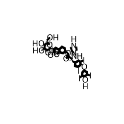 O=C(Oc1ccc2cc([C@@H]3O[C@H](CO)[C@H](O)[C@H](O)[C@H]3O)c(=O)oc2c1)[C@H](Cc1cc(I)c(Oc2cc(I)c(O)c(I)c2)c(I)c1)NN1CCNCC1